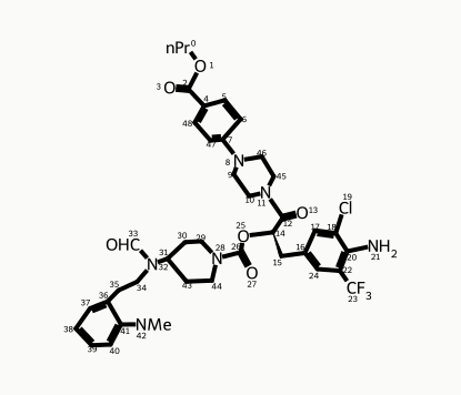 CCCOC(=O)c1ccc(N2CCN(C(=O)[C@@H](Cc3cc(Cl)c(N)c(C(F)(F)F)c3)OC(=O)N3CCC(N(C=O)CCc4ccccc4NC)CC3)CC2)cc1